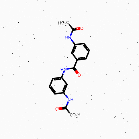 O=C(O)C(=O)Nc1cccc(NC(=O)c2cccc(NC(=O)C(=O)O)c2)c1